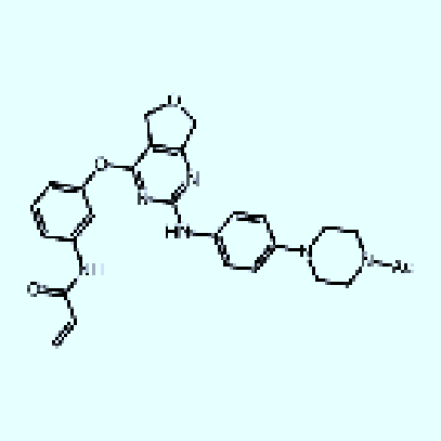 C=CC(=O)Nc1cccc(Oc2nc(Nc3ccc(N4CCN(C(C)=O)CC4)cc3)nc3c2COC3)c1